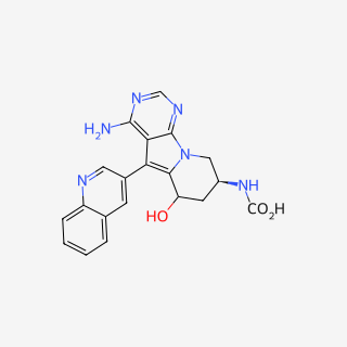 Nc1ncnc2c1c(-c1cnc3ccccc3c1)c1n2C[C@@H](NC(=O)O)CC1O